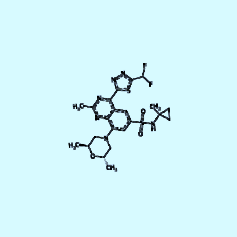 Cc1nc(-c2nnc(C(F)F)s2)c2cc(S(=O)(=O)NC3(C)CC3)cc(N3C[C@H](C)O[C@@H](C)C3)c2n1